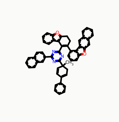 CC1(c2nc(C3=C(c4cccc5oc6cc7ccccc7cc6c45)CCc4oc5ccccc5c43)nc(-c3ccc4ccccc4c3)n2)C=CC(c2ccccc2)=CC1